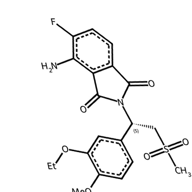 CCOc1cc([C@@H](CS(C)(=O)=O)N2C(=O)c3ccc(F)c(N)c3C2=O)ccc1OC